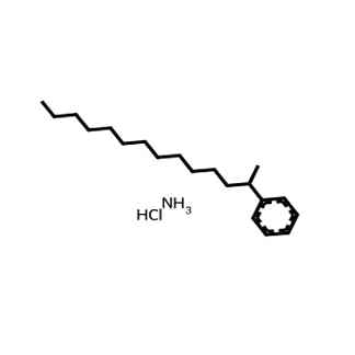 CCCCCCCCCCCCC(C)c1ccccc1.Cl.N